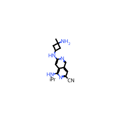 CC(C)Nc1nc(C#N)cc2cnc(NC3CC(C)(N)C3)cc12